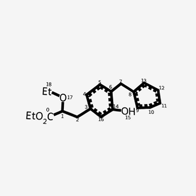 CCOC(=O)C(Cc1ccc(Cc2ccccc2)c(O)c1)OCC